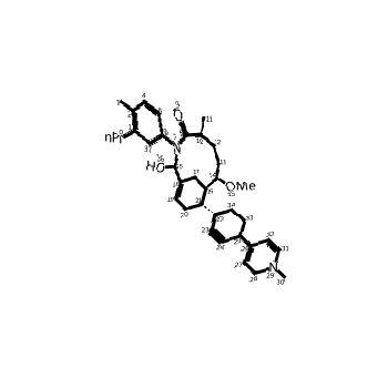 CCCC1=C(C)C=CC(N2C(=O)[C@@H](C)CCC(OC)C3CC(=CCC3[C@H]3C#CC(C4=CCN(C)C=C4)CC3)C2O)C1